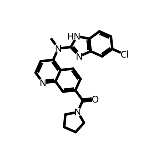 CN(c1nc2cc(Cl)ccc2[nH]1)c1ccnc2cc(C(=O)N3CCCC3)ccc12